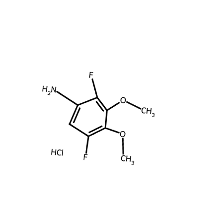 COc1c(F)cc(N)c(F)c1OC.Cl